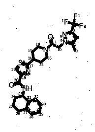 Cc1cc(C(F)(F)F)nn1CC(=O)N1CCC(c2nc(C(=O)NC3CCCc4ccccc43)cs2)CC1